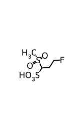 CS(=O)(=O)C(CCF)S(=O)(=O)O